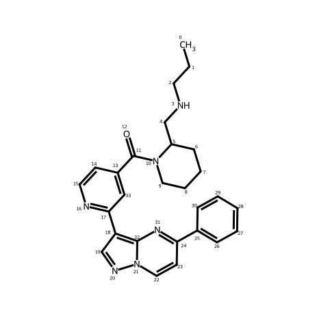 CCCNCC1CCCCN1C(=O)c1ccnc(-c2cnn3ccc(-c4ccccc4)nc23)c1